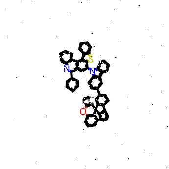 c1ccc(-c2nc3ccccc3c3c2cc(-n2c4ccccc4c4cc(-c5ccc6c(c5)C5(c7ccccc7Oc7ccccc75)c5ccccc5-6)ccc42)c2sc4ccccc4c23)cc1